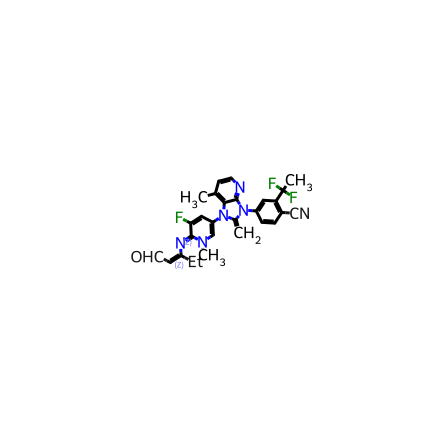 C=C1N(c2ccc(C#N)c(C(C)(F)F)c2)c2nccc(C)c2N1c1cc(F)/c(=N/C(=C\C=O)CC)n(C)c1